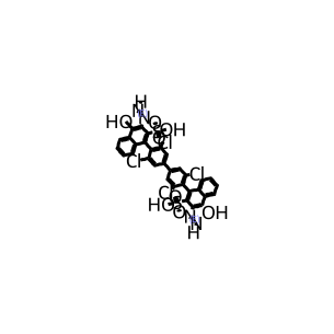 [H]/N=N/c1c(S(=O)(=O)O)c(-c2c(Cl)cc(-c3cc(Cl)c(-c4c(S(=O)(=O)O)c(/N=N/[H])c(O)c5ccccc45)c(Cl)c3)cc2Cl)c2ccccc2c1O